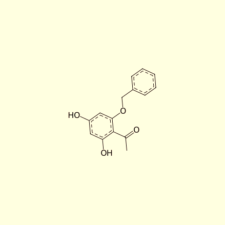 CC(=O)c1c(O)cc(O)cc1OCc1ccccc1